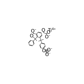 CC(C)(c1ccccc1)c1cccc(C(=O)[O-])c1C(C)(C)c1ccccc1.O=CC(=O)[O-].[O]=[Ti]([O-])[O-].[Ti+4]